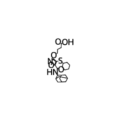 O=C(O)CCCOc1noc(C(=O)NC2C3CC4CC(C3)CC2C4)c1SC1CCCCC1